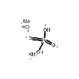 Cl.O=S(=O)(O)O.[KH].[Mn]